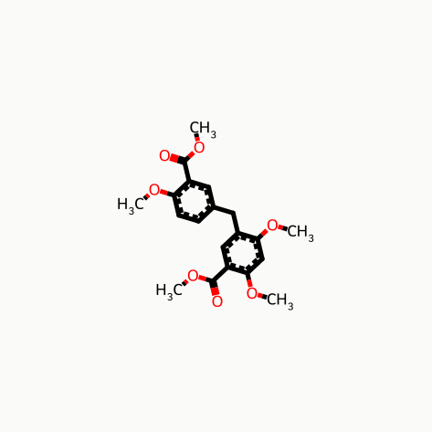 COC(=O)c1cc(Cc2cc(C(=O)OC)c(OC)cc2OC)ccc1OC